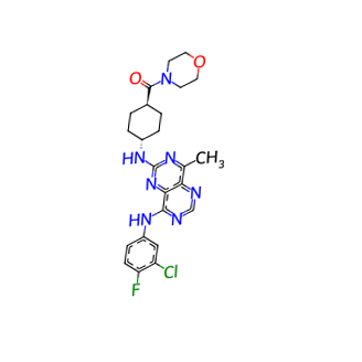 Cc1nc(N[C@H]2CC[C@H](C(=O)N3CCOCC3)CC2)nc2c(Nc3ccc(F)c(Cl)c3)ncnc12